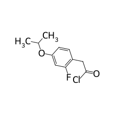 CC(C)Oc1ccc(CC(=O)Cl)c(F)c1